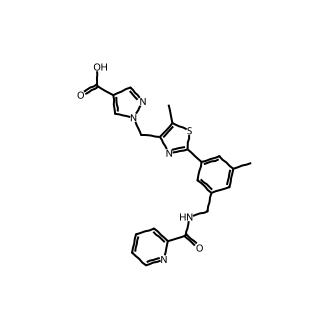 Cc1cc(CNC(=O)c2ccccn2)cc(-c2nc(Cn3cc(C(=O)O)cn3)c(C)s2)c1